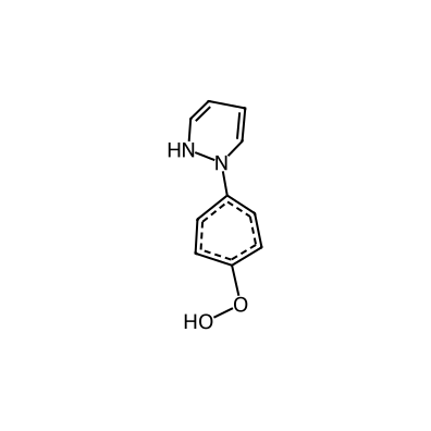 OOc1ccc(N2C=CC=CN2)cc1